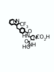 O=C(N[C@@H]1CN(C(=O)O)C[C@@H]1C(=O)NO)c1ccc(Cc2c(C(F)(F)F)nn3ccccc23)cc1